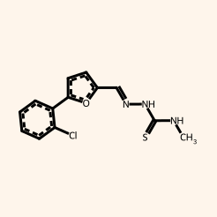 CNC(=S)NN=Cc1ccc(-c2ccccc2Cl)o1